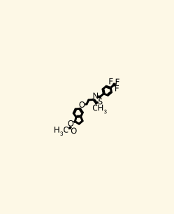 CC(=O)OC1CCc2cc(OCCc3nc(-c4ccc(C(F)(F)F)cc4)sc3C)ccc21